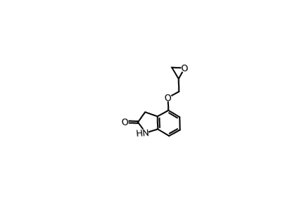 O=C1Cc2c(cccc2OCC2CO2)N1